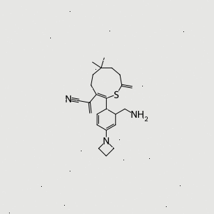 C=C1CCC(C)(C)CC/C(C(=C)C#N)=C(/C2C=CC(N3CCC3)=CC2CN)S1